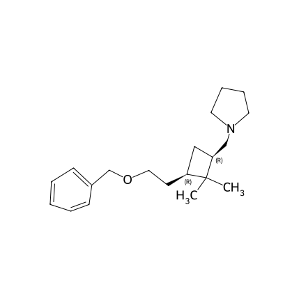 CC1(C)[C@@H](CCOCc2ccccc2)C[C@H]1CN1CCCC1